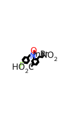 CCCC(=O)N(Cc1ccc(F)cc1)c1cc(C(=O)O)ccc1CC[N+](=O)[O-]